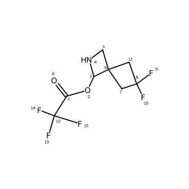 O=C(OC1NCC12CC(F)(F)C2)C(F)(F)F